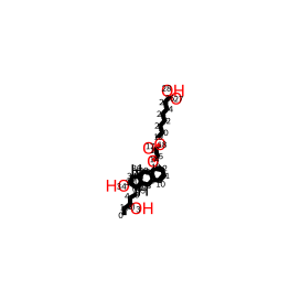 CC[C@H](O)CC[C@@H]1[C@H]2Cc3cccc(OCC(=O)OCCCCCCCC(=O)O)c3C[C@H]2C[C@H]1O